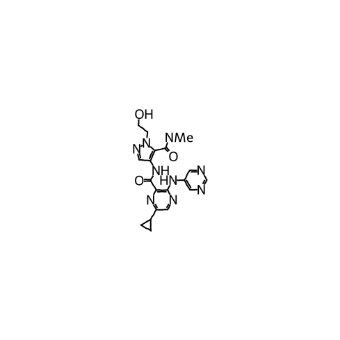 CNC(=O)c1c(NC(=O)c2nc(C3CC3)cnc2Nc2cncnc2)cnn1CCO